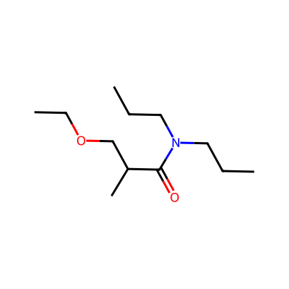 CCCN(CCC)C(=O)C(C)COCC